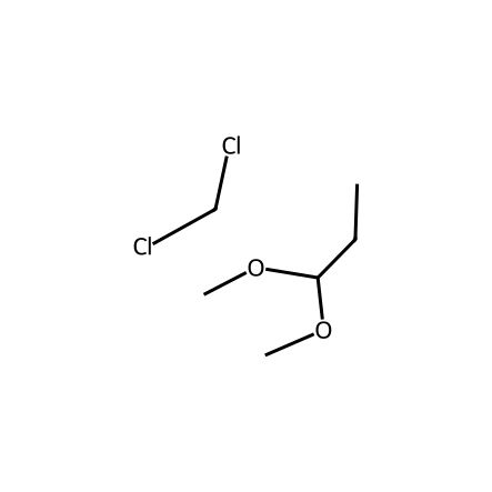 CCC(OC)OC.ClCCl